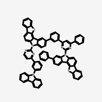 c1ccc(-c2ccc3c4c5sc6ccccc6c5ccc4n(-c4nc(-c5ccccc5)cc(-c5cccc(-c6ccc7c(c6)c6c8sc9ccccc9c8ccc6n7-c6nccc(-c7cccc(-n8c9ccccc9c9ccccc98)c7)n6)c5)n4)c3c2)cc1